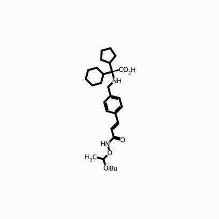 CC(C)COC(C)ONC(=O)/C=C/c1ccc(CN[C@](C(=O)O)(C2CCCCC2)C2CCCC2)cc1